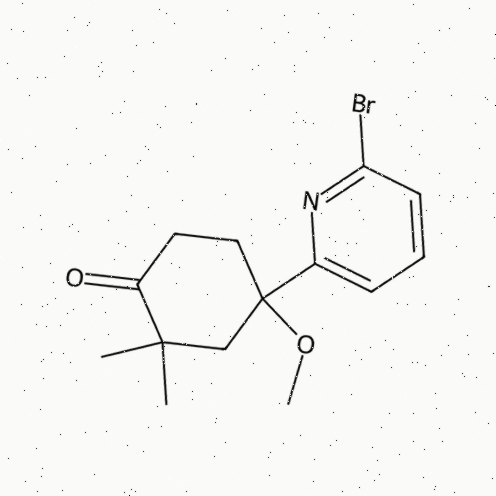 COC1(c2cccc(Br)n2)CCC(=O)C(C)(C)C1